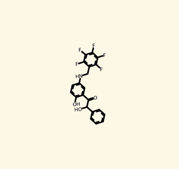 O=C(c1cc(NCc2c(F)c(F)c(F)c(F)c2F)ccc1O)C(O)c1ccccc1